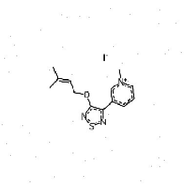 CC(C)=CCOc1nsnc1-c1ccc[n+](C)c1.[I-]